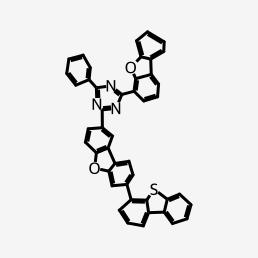 c1ccc(-c2nc(-c3ccc4oc5cc(-c6cccc7c6sc6ccccc67)ccc5c4c3)nc(-c3cccc4c3oc3ccccc34)n2)cc1